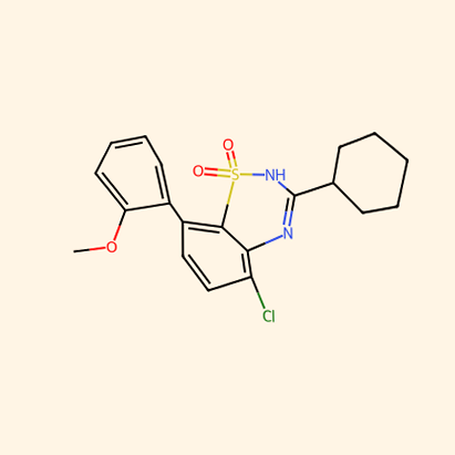 COc1ccccc1-c1ccc(Cl)c2c1S(=O)(=O)NC(C1CCCCC1)=N2